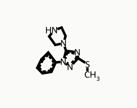 CSc1nc(N2CCNCC2)n(-c2ccccc2)n1